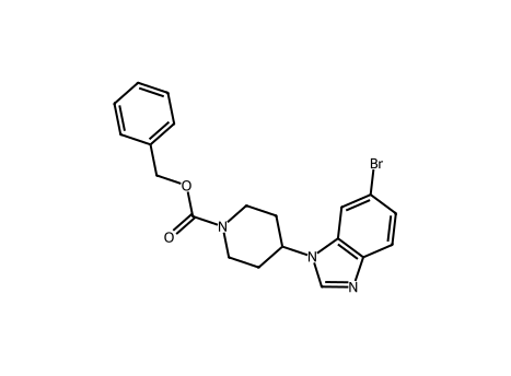 O=C(OCc1ccccc1)N1CCC(n2cnc3ccc(Br)cc32)CC1